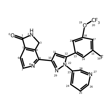 O=C1NCc2c1ccnc2-c1cc(-c2cc(F)cc(OC(F)(F)F)c2)n(-c2cccnc2)n1